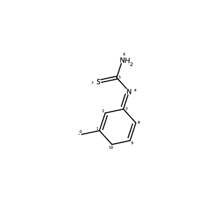 [CH2]C1=C/C(=N\C(N)=S)C=CC1